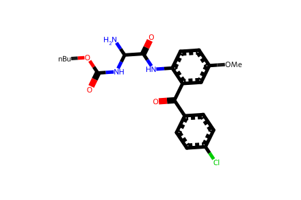 CCCCOC(=O)NC(N)C(=O)Nc1ccc(OC)cc1C(=O)c1ccc(Cl)cc1